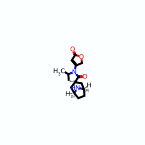 CC1C[C@@]2(C[C@H]3CC[C@@H](C2)N3)C(=O)N1C1=CC(=O)OC1